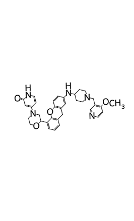 COc1ccncc1CN1CCC(Nc2ccc3c(c2)Cc2cccc(C4CN(c5cc[nH]c(=O)c5)CCO4)c2O3)CC1